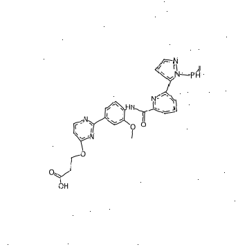 COc1cc(-c2nccc(OCCC(=O)O)n2)ccc1NC(=O)c1cccc(-c2ccnn2PI)n1